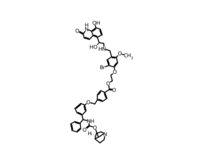 COc1cc(OCCOC(=O)c2ccc(COc3cccc(C(NC(=O)O[C@H]4CN5CCC4CC5)c4ccccc4)c3)cc2)c(Br)cc1CNC[C@@H](O)c1ccc(O)c2[nH]c(=O)ccc12